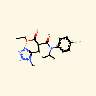 CCOC(=O)C(Cc1nnnn1C)C(=O)N(c1ccc(F)cc1)C(C)C